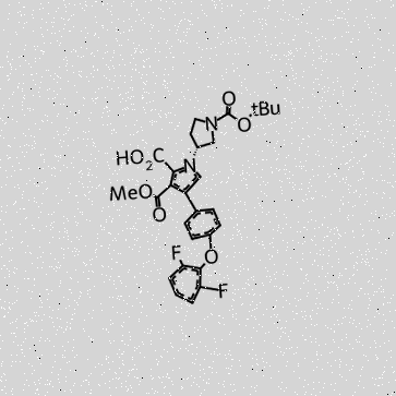 COC(=O)c1c(-c2ccc(Oc3c(F)cccc3F)cc2)cn([C@@H]2CCN(C(=O)OC(C)(C)C)C2)c1C(=O)O